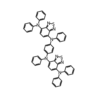 c1ccc(N(c2ccccc2)c2ccc(N(c3ccccc3)c3ccc(N(c4ccccc4)c4ccc(N(c5ccccc5)c5ccccc5)c5nsnc45)cc3)c3nsnc23)cc1